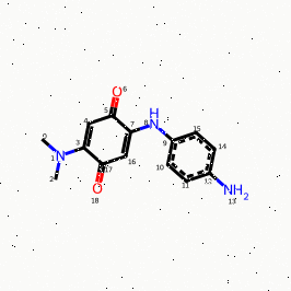 CN(C)C1=CC(=O)C(Nc2ccc(N)cc2)=CC1=O